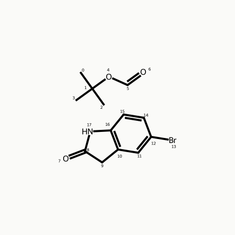 CC(C)(C)OC=O.O=C1Cc2cc(Br)ccc2N1